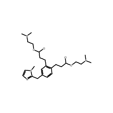 CN(C)CCOC(Cl)CCc1ccc(Cc2nccn2C)cc1CCC(Cl)OCCN(C)C